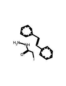 C(=Cc1ccccc1)c1ccccc1.NNC(=O)CI